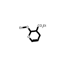 CCOC(=O)C1CC=COC1OCC